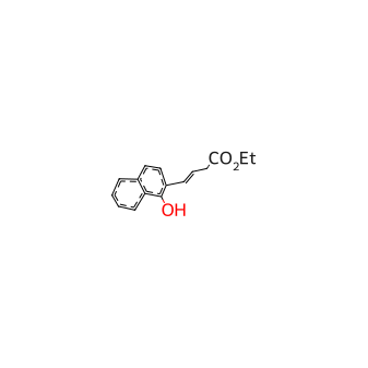 CCOC(=O)C/C=C/c1ccc2ccccc2c1O